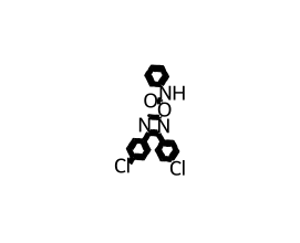 O=C(Nc1ccccc1)Oc1cnc(-c2ccc(Cl)cc2)c(-c2ccc(Cl)cc2)n1